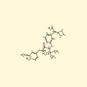 C=C/C=C(\C=C/C)CNC(=O)N(Cc1ccnc(N(N)C2CCC2)n1)C(C)(C)C